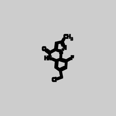 Cc1cc2c(=O)[nH]c3cc(CCl)cc(F)c3n2n1